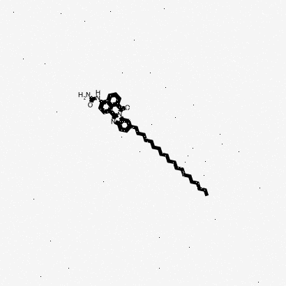 CCCCCCCCCCCCCCCCCCCCc1ccc2nc3c4ccc(NC(N)=O)c5cccc(c(=O)n3c2c1)c54